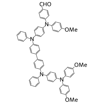 COc1ccc(N(c2ccc(C=O)cc2)c2ccc(N(c3ccccc3)c3ccc(-c4ccc(N(c5ccccc5)c5ccc(N(c6ccc(OC)cc6)c6ccc(OC)cc6)cc5)cc4)cc3)cc2)cc1